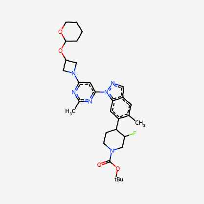 Cc1nc(N2CC(OC3CCCCO3)C2)cc(-n2ncc3cc(C)c(C4CCN(C(=O)OC(C)(C)C)CC4F)cc32)n1